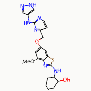 COc1cc(OCc2ccnc(Nc3cn[nH]c3)n2)cc2sc(NC3CCCC[C@@H]3O)nc12